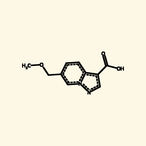 COCc1ccc2c(C(=O)O)cnn2c1